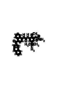 COc1c(CS(N)(=O)=O)cc(C(C)(C)C)cc1NC(=O)Nc1ccc(C(=O)N2CC3Cc4ccccc4C(C2)O3)c2ccccc12